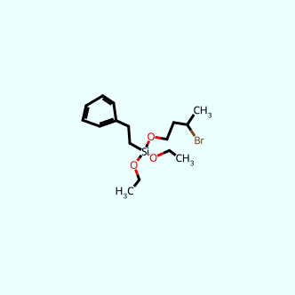 CCO[Si](CCc1ccccc1)(OCC)OCCC(C)Br